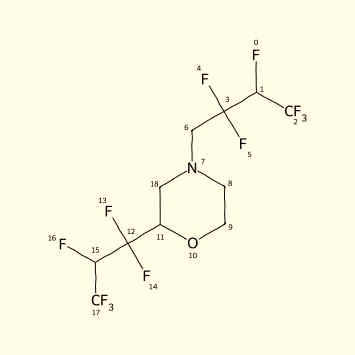 FC(C(F)(F)F)C(F)(F)CN1CCOC(C(F)(F)C(F)C(F)(F)F)C1